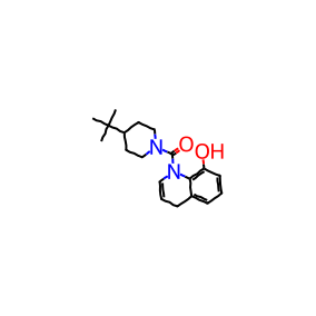 CC(C)(C)C1CCN(C(=O)N2C=CCc3cccc(O)c32)CC1